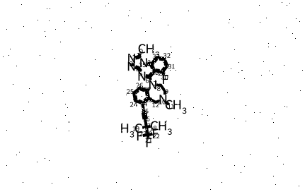 Cc1nnc2nc(N3CCN(C)Cc4c(C#CC(C)(C)C(F)(F)F)cccc43)c3c(F)cccc3n12